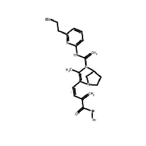 C=C(/C=C\C1=C(C)N(C(=C)Nc2cccc(CCC(C)CC)n2)C2CCN1C2)C(=O)NC(C)C